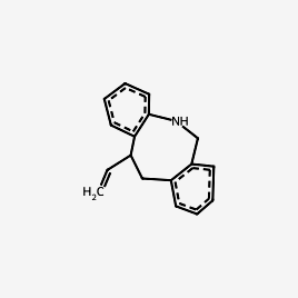 C=CC1Cc2ccccc2CNc2ccccc21